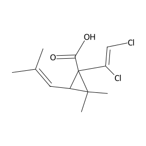 CC(C)=CC1C(C)(C)C1(C(=O)O)C(Cl)=CCl